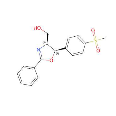 CS(=O)(=O)c1ccc([C@H]2OC(c3ccccc3)=N[C@H]2CO)cc1